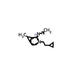 C=N/N=c1/c2c(ccn1CCC1CC1)C2C